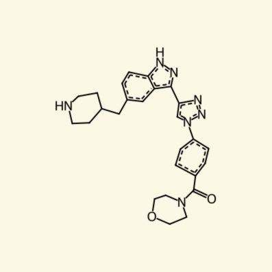 O=C(c1ccc(-n2cc(-c3n[nH]c4ccc(CC5CCNCC5)cc34)nn2)cc1)N1CCOCC1